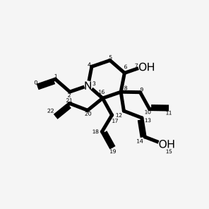 C=CCN1CCC(O)C(CC=C)(CC=CO)C1(CC=C)CC=C